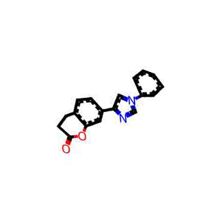 O=C1CCc2ccc(-c3cn(-c4ccccc4)cn3)cc2O1